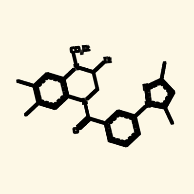 CCOC(=O)N1c2cc(C)c(C)cc2N(C(=O)c2cccc(-n3nc(C)cc3C)c2)CC1CC